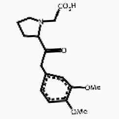 COc1ccc(CC(=O)C2CCCN2CC(=O)O)cc1OC